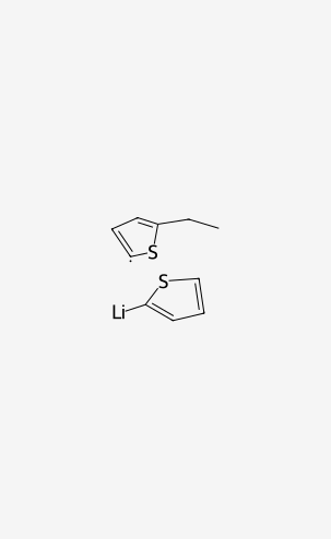 CCc1cc[c]s1.[Li][c]1cccs1